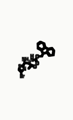 CC(=O)[C@@H](NC(=O)OCC1c2ccccc2-c2ccccc21)[C@H](N)c1nc(Br)cs1